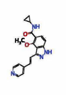 COc1c(C(=O)NC2CC2)ccc2[nH]nc(/C=C/c3ccncc3)c12